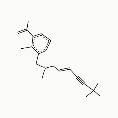 C=C(C)c1cccc(CN(C)CC=CC#CC(C)(C)C)c1C